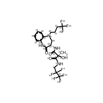 C[C@](O)(C(=O)NCC(F)(F)C(F)(F)F)C(=O)N[C@H]1CN(CCCC(F)(F)F)c2ccccc2NC1=O